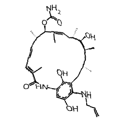 C=CCNc1c(O)cc2c(O)c1C[C@@H](C)C[C@H](C)[C@H](O)[C@@H](C)/C=C(\C)[C@H](OC(N)=O)[C@@H](C)/C=C\C=C(/C)C(=O)N2